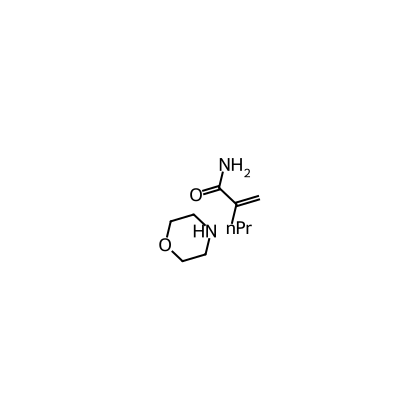 C1COCCN1.C=C(CCC)C(N)=O